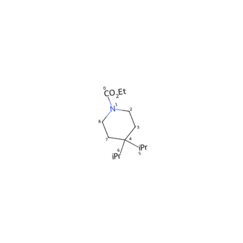 CCOC(=O)N1CCC(C(C)C)(C(C)C)CC1